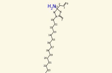 C=CCC(N)(CC=C)CCCCCCCCCCCCCCCCC